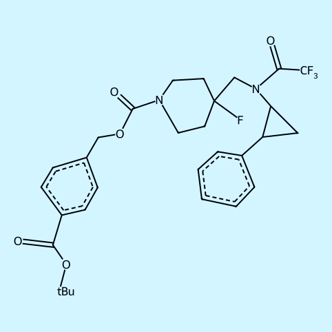 CC(C)(C)OC(=O)c1ccc(COC(=O)N2CCC(F)(CN(C(=O)C(F)(F)F)C3CC3c3ccccc3)CC2)cc1